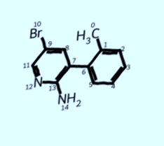 Cc1ccccc1-c1cc(Br)cnc1N